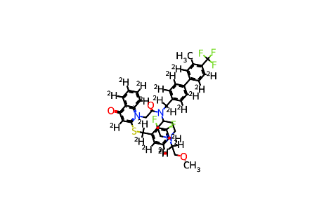 [2H]c1c([2H])c(F)c(F)c(C([2H])([2H])Sc2c([2H])c(=O)c3c([2H])c([2H])c([2H])c([2H])c3n2CC(=O)N(C2CCN(C([2H])([2H])COC)CC2)C([2H])([2H])c2c([2H])c([2H])c(-c3c([2H])c([2H])c(C(F)(F)F)c(C)c3[2H])c([2H])c2[2H])c1[2H]